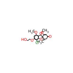 COC1=CC(=O)C[C@@H](C)[C@]12Oc1c(Cl)c(OCCO)cc(OC)c1C2=O